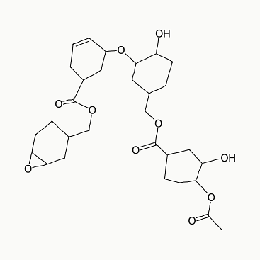 CC(=O)OC1CCC(C(=O)OCC2CCC(O)C(OC3C=CCC(C(=O)OCC4CCC5OC5C4)C3)C2)CC1O